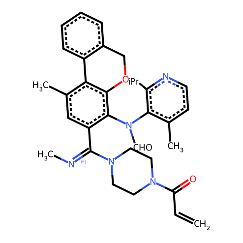 C=CC(=O)N1CCN(/C(=N/C)c2cc(C)c3c(c2N(C=O)c2c(C)ccnc2C(C)C)OCc2ccccc2-3)CC1